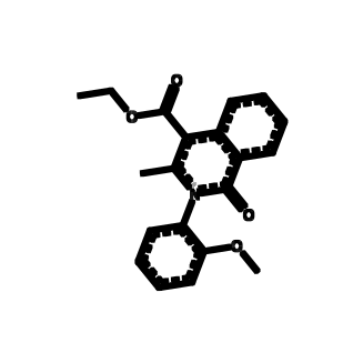 CCOC(=O)c1c(C)n(-c2ccccc2OC)c(=O)c2ccccc12